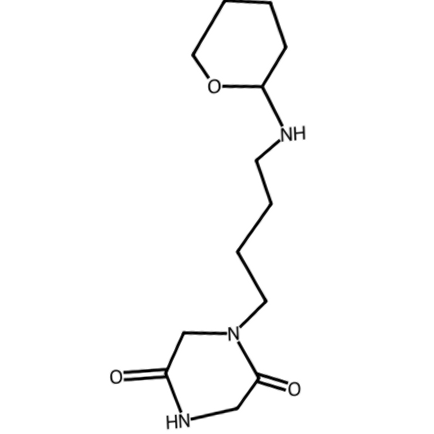 O=C1CN(CCCCNC2CCCCO2)C(=O)CN1